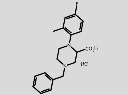 Cc1cc(F)ccc1N1CCN(Cc2ccccc2)CC1C(=O)O.Cl